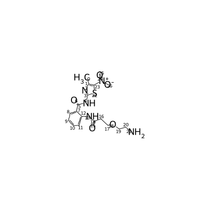 Cc1nc(NC(=O)c2ccccc2NC(=O)CCOCCN)sc1[N+](=O)[O-]